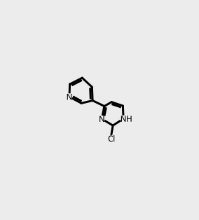 ClC1N=C(c2cccnc2)C=CN1